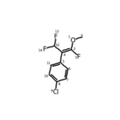 COC(F)=C(c1ccc(Cl)cc1)C(F)F